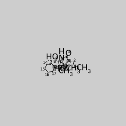 CCC[C@H]1C(=O)N[C@](CO)([C@@H](C)[C@@H]2C=CCCC2)[C@@]1(C)O